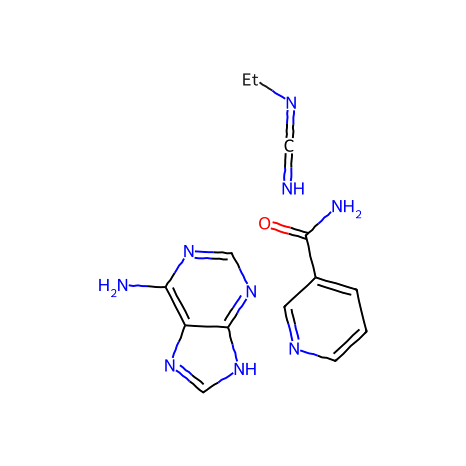 CCN=C=N.NC(=O)c1cccnc1.Nc1ncnc2[nH]cnc12